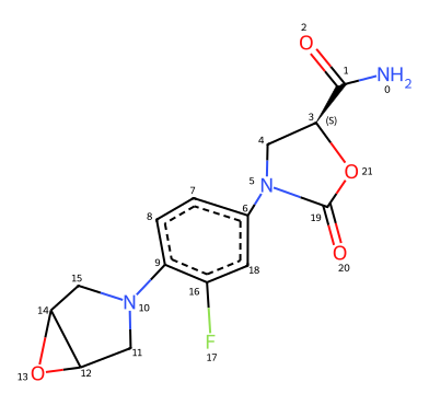 NC(=O)[C@@H]1CN(c2ccc(N3CC4OC4C3)c(F)c2)C(=O)O1